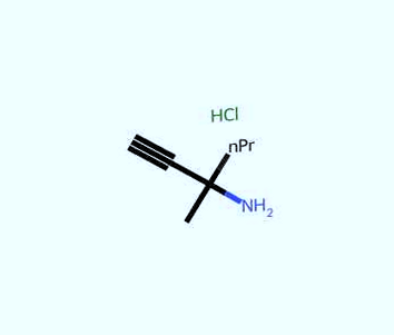 C#CC(C)(N)CCC.Cl